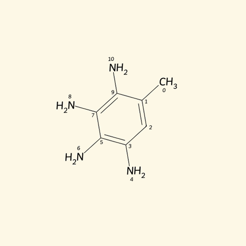 Cc1cc(N)c(N)c(N)c1N